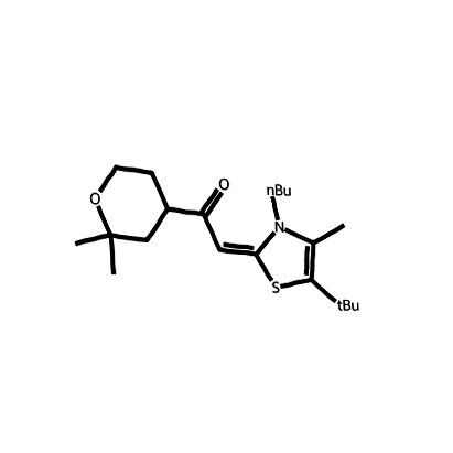 CCCCN1C(=CC(=O)C2CCOC(C)(C)C2)SC(C(C)(C)C)=C1C